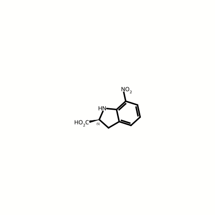 O=C(O)[C@@H]1Cc2cccc([N+](=O)[O-])c2N1